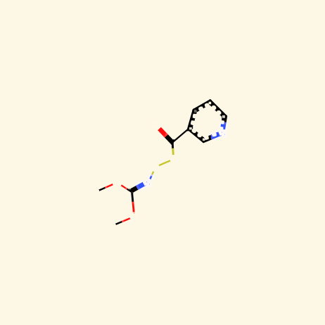 COC(=NSSC(=O)c1cccnc1)OC